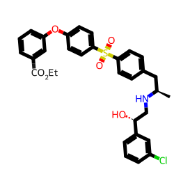 CCOC(=O)c1cccc(Oc2ccc(S(=O)(=O)c3ccc(C[C@@H](C)NC[C@@H](O)c4cccc(Cl)c4)cc3)cc2)c1